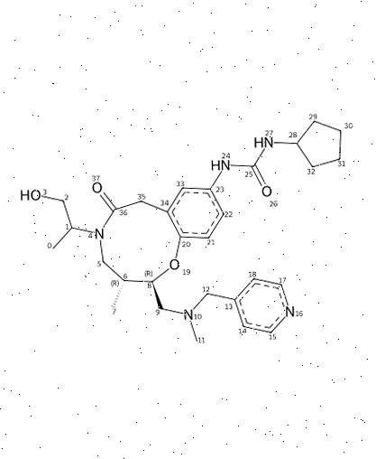 CC(CO)N1C[C@@H](C)[C@H](CN(C)Cc2ccncc2)Oc2ccc(NC(=O)NC3CCCC3)cc2CC1=O